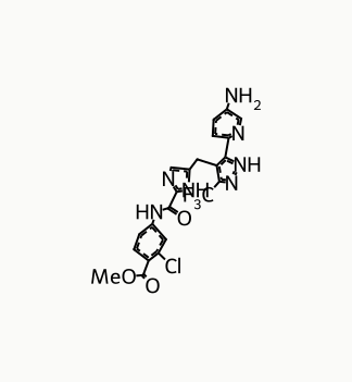 COC(=O)c1ccc(NC(=O)c2ncc(Cc3c(C(F)(F)F)n[nH]c3-c3ccc(N)cn3)[nH]2)cc1Cl